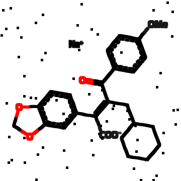 COc1ccc(C(=O)C(CC2CCCCC2)=C(C(=O)[O-])c2ccc3c(c2)OCO3)cc1.[Na+]